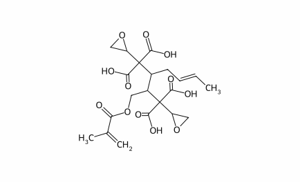 C=C(C)C(=O)OCC(C(CC=CC)C(C(=O)O)(C(=O)O)C1CO1)C(C(=O)O)(C(=O)O)C1CO1